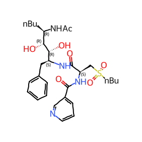 CCCC[C@@H](NC(C)=O)[C@@H](O)[C@H](O)[C@H](Cc1ccccc1)NC(=O)[C@@H](CS(=O)(=O)CCCC)NC(=O)c1cccnc1